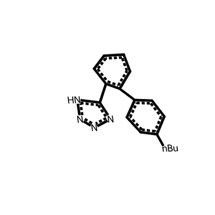 CCCCc1ccc(-c2ccccc2-c2nnn[nH]2)cc1